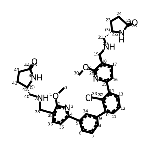 COc1nc(-c2cccc(-c3cccc(-c4ccc(CNC[C@@H]5CCC(=O)N5)c(OC)n4)c3Cl)c2)ccc1CNC[C@@H]1CCC(=O)N1